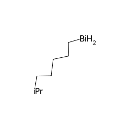 CC(C)CCCC[CH2][BiH2]